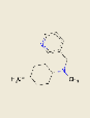 CN(Cc1cccnc1)[C@H]1CC[C@@H](C)CC1